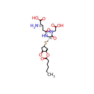 CCCCCC(=O)OC1=CC(SC[C@H](NC(=O)CC[C@H](N)C(=O)O)C(=O)NCC(=O)O)CC1=O